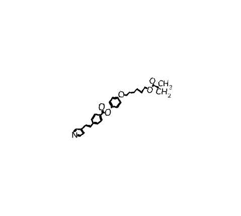 C=C(C)C(=O)OCCCCCCOc1ccc(OC(=O)c2ccc(/C=C/c3ccncc3)cc2)cc1